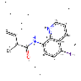 C=CC(CC)C(=O)Nc1ccc(I)c2cccnc12